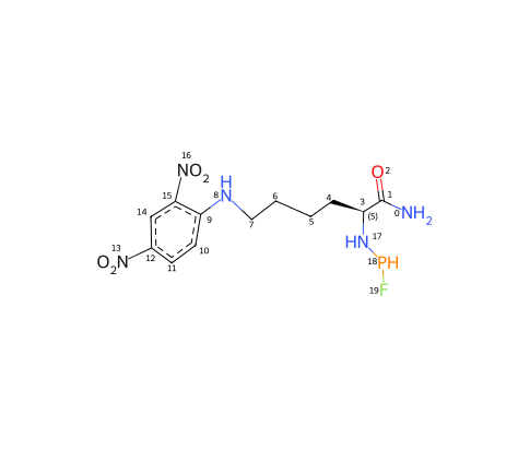 NC(=O)[C@H](CCCCNc1ccc([N+](=O)[O-])cc1[N+](=O)[O-])NPF